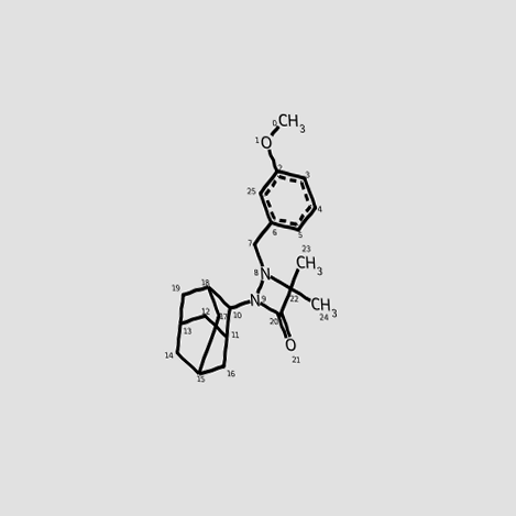 COc1cccc(CN2N(C3C4CC5CC(C4)CC3C5)C(=O)C2(C)C)c1